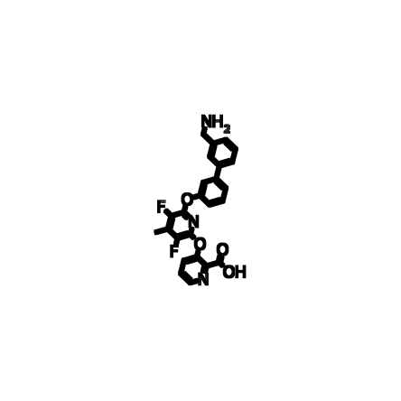 Cc1c(F)c(Oc2cccc(-c3cccc(CN)c3)c2)nc(Oc2cccnc2C(=O)O)c1F